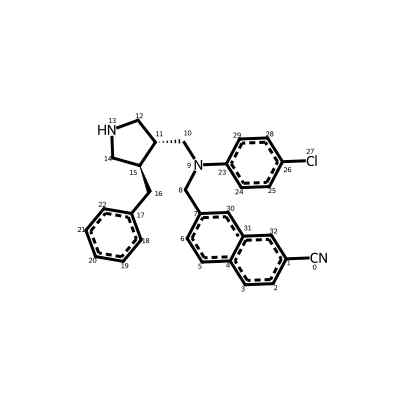 N#Cc1ccc2ccc(CN(C[C@H]3CNC[C@@H]3Cc3ccccc3)c3ccc(Cl)cc3)cc2c1